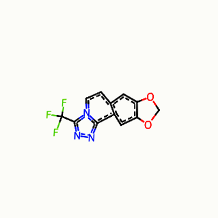 FC(F)(F)c1nnc2c3cc4c(cc3ccn12)OCO4